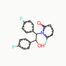 O=c1cccc(F)n1C(c1ccc(F)cc1)C(O)c1ccc(F)cc1